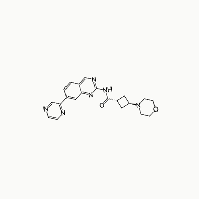 O=C(Nc1ncc2ccc(-c3cnccn3)cc2n1)[C@H]1C[C@H](N2CCOCC2)C1